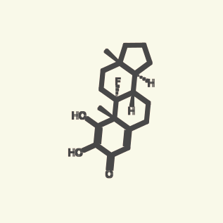 C[C@@]12CCC[C@H]1[C@@H]1CCC3=CC(=O)C(O)=C(O)[C@]3(C)[C@@]1(F)CC2